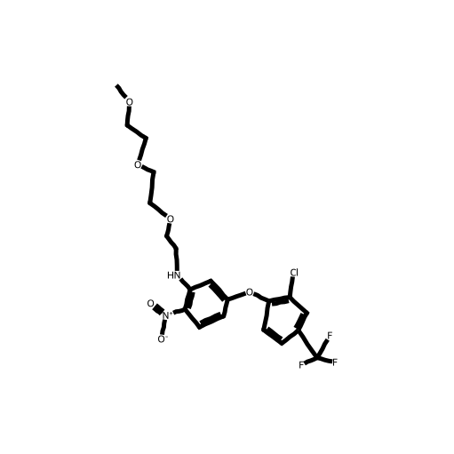 COCCOCCOCCNc1cc(Oc2ccc(C(F)(F)F)cc2Cl)ccc1[N+](=O)[O-]